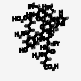 CC(C)C[C@H](NC(=O)[C@H](CC(C)C)NC(=O)[C@H](Cc1c[nH]cn1)NC(=O)[C@H](Cc1ccc(O)cc1)NC(=O)[C@@H](NC(=O)[C@@H](N)CCC(=O)O)C(C)C)C(=O)N[C@@H](CCCCN)C(=O)O